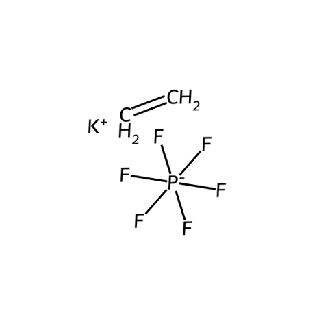 C=C.F[P-](F)(F)(F)(F)F.[K+]